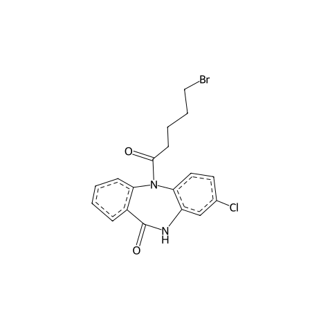 O=C1Nc2cc(Cl)ccc2N(C(=O)CCCCBr)c2ccccc21